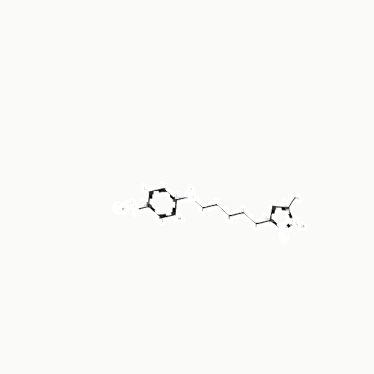 Cc1cc(CCCCCOc2ccc(C=O)cc2)on1